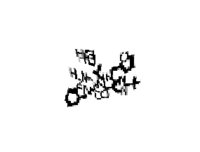 CC(C)CN(C(=O)c1cnc(C(C)(C)C)nc1NCc1ccco1)[C@@H](CN)C(=O)NCc1ccccc1.Cl.Cl